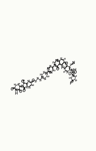 N#Cc1c(NS(=O)(=O)N2CC[C@@H](F)C2)ccc(F)c1Oc1ccc2ncn(-c3cnc(N4CCN(CCCOc5ccc6c(c5)C(=O)N(C5CCC(=O)NC5=O)C6=O)CC4)nc3)c(=O)c2c1